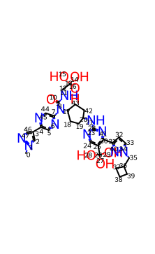 Cn1cc(-c2cnc(N(C(=O)NCC(O)(O)O)[C@H]3CC[C@H](Nc4ncc(C(O)(O)O)c(-c5ccn(CC6CCC6)n5)n4)CC3)cn2)cn1